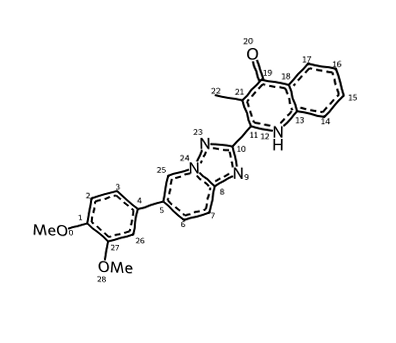 COc1ccc(-c2ccc3nc(-c4[nH]c5ccccc5c(=O)c4C)nn3c2)cc1OC